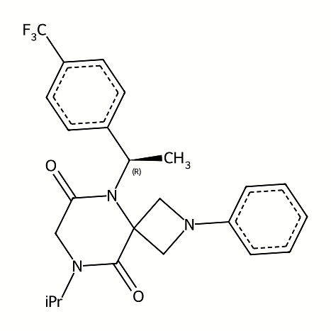 CC(C)N1CC(=O)N([C@H](C)c2ccc(C(F)(F)F)cc2)C2(CN(c3ccccc3)C2)C1=O